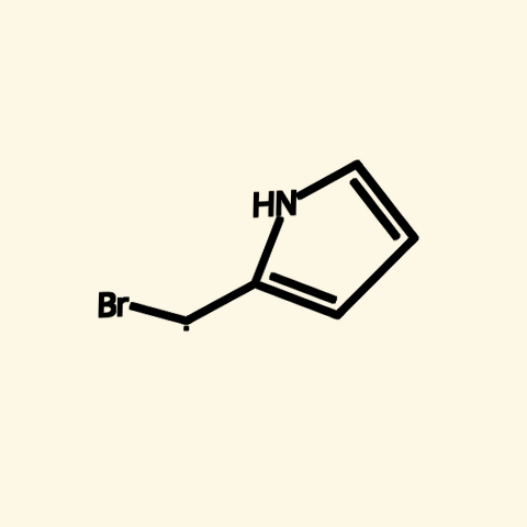 Br[CH]c1ccc[nH]1